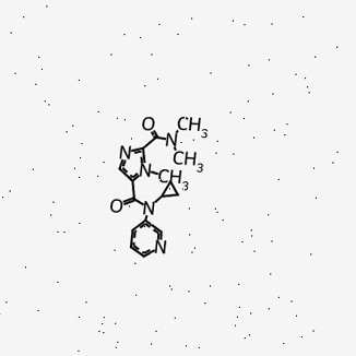 CN(C)C(=O)c1ncc(C(=O)N(c2cccnc2)C2CC2)n1C